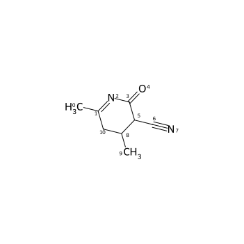 CC1=NC(=O)C(C#N)C(C)C1